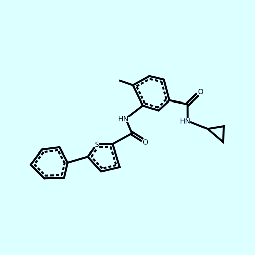 Cc1ccc(C(=O)NC2CC2)cc1NC(=O)c1ccc(-c2ccccc2)s1